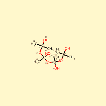 C[Si](C)(O)O[Si](C)(O)O[Si](C)(O)O[Si](C)(C)O